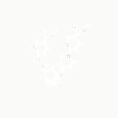 COC(=O)c1ccc(Cl)nc1.COC(=O)c1ccc(N2CCC(Oc3cc(F)ccc3Cl)CC2)nc1